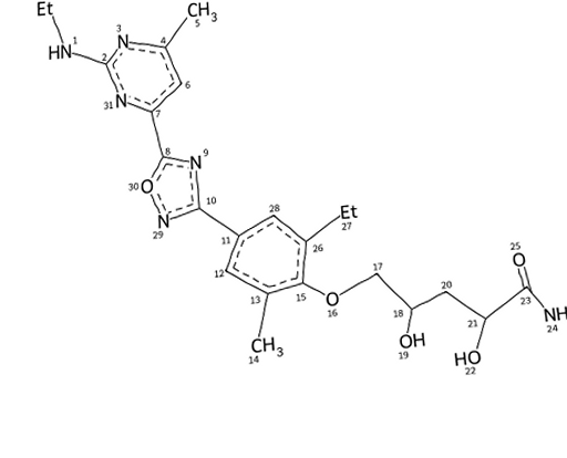 CCNc1nc(C)cc(-c2nc(-c3cc(C)c(OCC(O)CC(O)C(N)=O)c(CC)c3)no2)n1